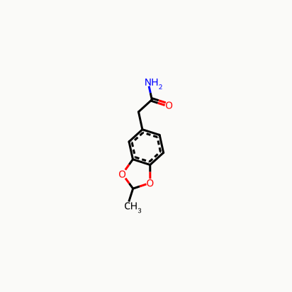 CC1Oc2ccc(CC(N)=O)cc2O1